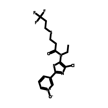 CCN(C(=O)CCSCCC(F)(F)F)c1sc(-c2ccc[n+]([O-])c2)nc1Cl